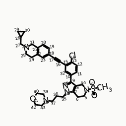 CS(=O)(=O)N1CCc2c(c(-c3ccc(Cl)c(C#Cc4ccc5c(c4)CCN(CC4CC4)C5)c3)nn2CCCN2CCOCC2)C1